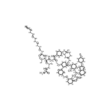 COc1ccccc1-c1nccc(COc2ccccc2C[C@@H](Oc2ncnc3sc(-c4ccc(F)cc4)c(-c4ccc(OCCN5CC[N+](C)(Cc6ccc(NC(=O)[C@H](CCCNC(N)=O)NC(=O)[C@@H](NC(=O)COCCOCCOCCN=[N+]=[N-])C(C)C)cc6)CC5)c(Cl)c4C)c23)C(=O)O)n1